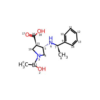 CB(O)N1C[C@@H](N[C@H](C)c2ccccc2)[C@H](C(=O)O)C1